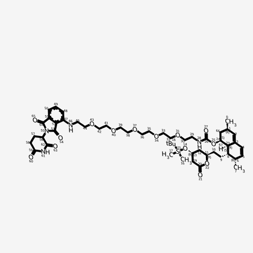 C[C@H]1C=C2C=C[C@H](C)[C@H](CC[C@@H]3C[C@@H](O[Si](C)(C)C(C)(C)C)CC(=O)O3)[C@H]2[C@@H](OC(=O)NCCOCCOCCOCCOCCOCCNc2cccc3c2C(=O)N(C2CCC(=O)NC2=O)C3=O)C1